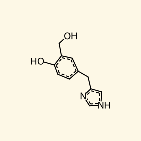 OCc1cc(Cc2c[nH]cn2)ccc1O